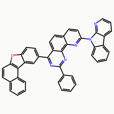 c1ccc(-c2nc(-c3ccc4oc5ccc6ccccc6c5c4c3)c3ccc4ccc(-n5c6ccccc6c6cccnc65)nc4c3n2)cc1